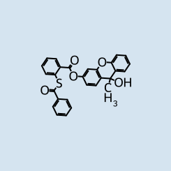 CC1(O)c2ccccc2Oc2cc(OC(=O)c3ccccc3SC(=O)c3ccccc3)ccc21